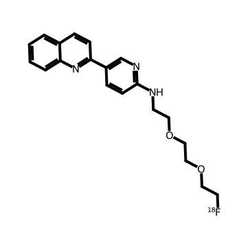 [18F]CCOCCOCCNc1ccc(-c2ccc3ccccc3n2)cn1